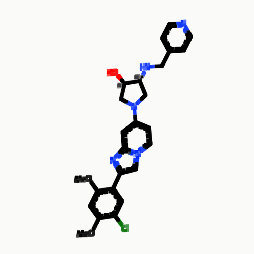 COc1cc(OC)c(-c2cn3ccc(N4C[C@@H](O)[C@H](NCc5ccncc5)C4)cc3n2)cc1Cl